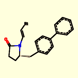 CCC=CN1C(=O)CC[C@H]1Cc1ccc(-c2ccccc2)cc1